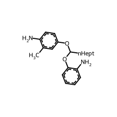 CCCCCCCC(Oc1ccc(N)c(C)c1)Oc1ccccc1N